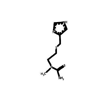 CN(CCSCc1c[nH]cn1)C(N)=S